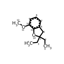 CCC1(CC)Cc2cccc(OC)c2O1